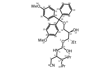 CC[C@H](OP(O)NC(CC#N)N(C(C)C)C(C)C)[C@H](O)COC(c1ccccc1)(c1ccc(OC)cc1)c1ccc(OC)cc1